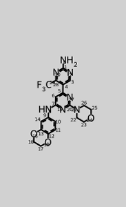 Nc1ncc(-c2cc(Nc3ccc4c(c3)OCCO4)nc(N3CCOCC3)n2)c(C(F)(F)F)n1